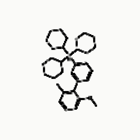 COc1cccc(C)c1-c1cccc([PH](C2CCCCC2)(C2CCCCC2)C2CCCCC2)c1